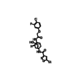 CCc1cc(C(=O)NC23CCC(NC(=O)COc4ccc(Cl)c(F)c4)(CC2)[C@@H](O)C3)no1